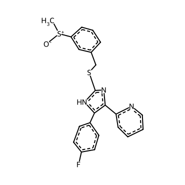 C[S+]([O-])c1cccc(CSc2nc(-c3ccccn3)c(-c3ccc(F)cc3)[nH]2)c1